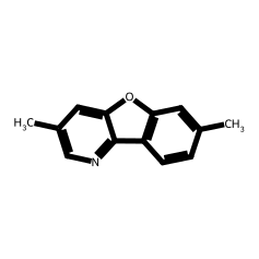 Cc1ccc2c(c1)oc1cc(C)cnc12